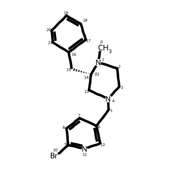 CN1CCN(Cc2ccc(Br)nc2)C[C@@H]1Cc1ccccc1